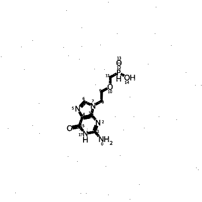 Nc1nc2c(ncn2CCOC[PH](=O)O)c(=O)[nH]1